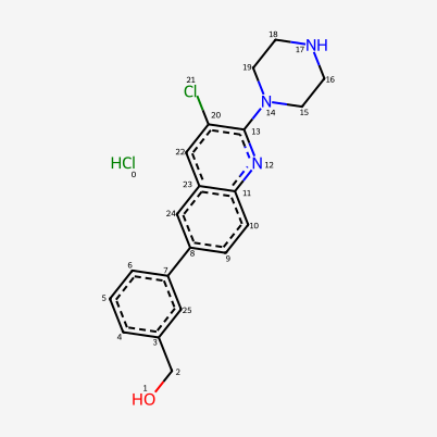 Cl.OCc1cccc(-c2ccc3nc(N4CCNCC4)c(Cl)cc3c2)c1